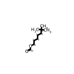 CC(C)(C)CCCCCO[C]=O